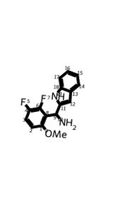 COc1ccc(F)c(F)c1C(N)c1cc2ccccc2[nH]1